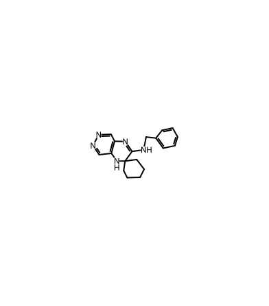 c1ccc(CNC2=Nc3cnncc3NC23CCCCC3)cc1